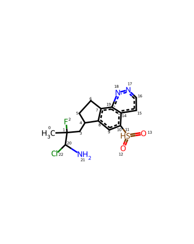 CC(F)(CC1CCc2c1cc([SH](=O)=O)c1ccnnc21)C(N)Cl